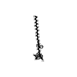 CCCCCCCCCCCCCCCCCCOC(=O)CCCC[Si](OCC)(OCC)OCC